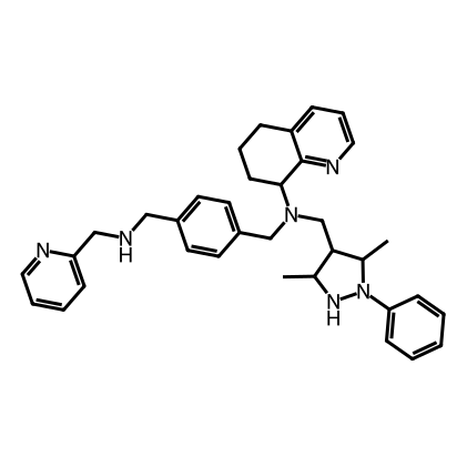 CC1NN(c2ccccc2)C(C)C1CN(Cc1ccc(CNCc2ccccn2)cc1)C1CCCc2cccnc21